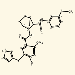 COc1cc(F)c(Cc2cn[nH]c2)cc1C(=O)NC1C2CCC(C2)C1C(=O)Nc1cccc(SC(F)(F)F)c1